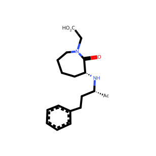 CC(=O)[C@H](CCc1ccccc1)N[C@@H]1CCCCN(CC(=O)O)C1=O